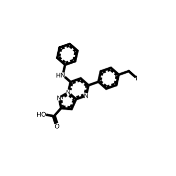 O=C(O)c1cc2nc(-c3ccc(CI)cc3)cc(Nc3ccccc3)n2n1